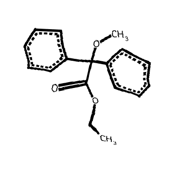 CCOC(=O)C(OC)(c1ccccc1)c1ccccc1